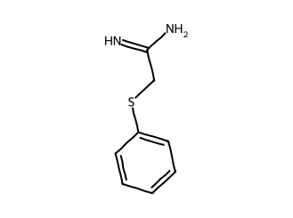 N=C(N)CSc1ccccc1